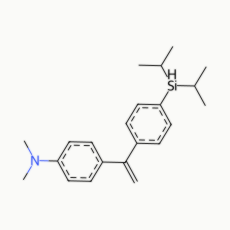 C=C(c1ccc(N(C)C)cc1)c1ccc([SiH](C(C)C)C(C)C)cc1